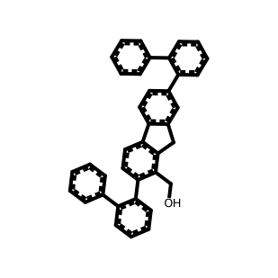 OCc1c(-c2ccccc2-c2ccccc2)ccc2c1Cc1cc(-c3ccccc3-c3ccccc3)ccc1-2